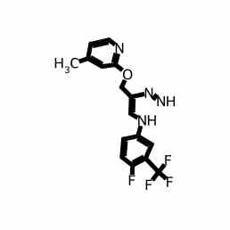 Cc1ccnc(OC/C(=C/Nc2ccc(F)c(C(F)(F)F)c2)N=N)c1